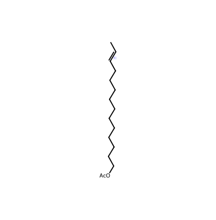 C/C=C/CCCCCCCCCCCOC(C)=O